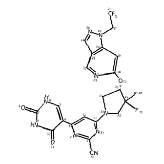 N#Cc1nc(-c2c[nH]c(=O)[nH]c2=O)cc(N2C[C@H](Oc3cc4c(cn3)cnn4CC(F)(F)F)C(F)(F)C2)n1